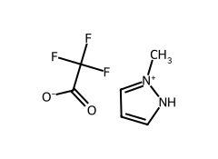 C[n+]1ccc[nH]1.O=C([O-])C(F)(F)F